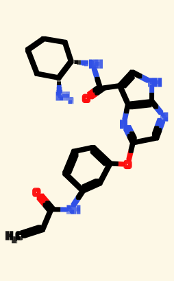 C=CC(=O)Nc1cccc(Oc2cnc3[nH]cc(C(=O)N[C@H]4CCCC[C@H]4N)c3n2)c1